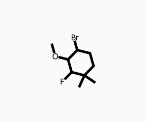 COC1C(Br)CCC(C)(C)C1F